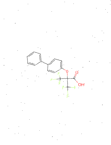 O=C(O)C(Oc1ccc(-c2ccccc2)cc1)(C(F)(F)F)C(F)(F)F